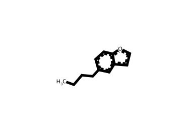 CC[CH]Cc1ccc2occc2c1